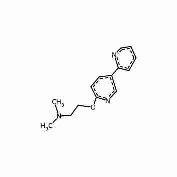 CN(C)CCOc1ccc(-c2ccccn2)cn1